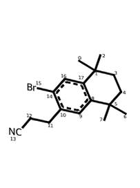 CC1(C)CCC(C)(C)c2cc(CCC#N)c(Br)cc21